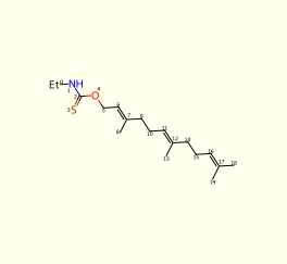 CCNC(=S)OC/C=C(\C)CC/C=C(\C)CCC=C(C)C